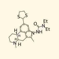 CCN(CC)C(=O)Nn1c(C)c2c3c(cc(C4SCCS4)cc31)[C@H]1CCCN(C)[C@@H]1C2